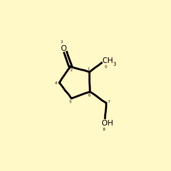 CC1C(=O)CCC1CO